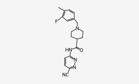 Cc1ccc(CN2CCC(C(=O)Nc3ccc(C#N)nn3)CC2)cc1F